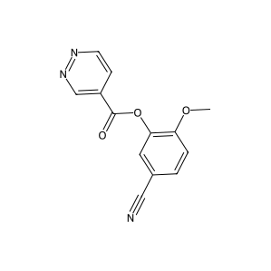 COc1ccc(C#N)cc1OC(=O)c1ccnnc1